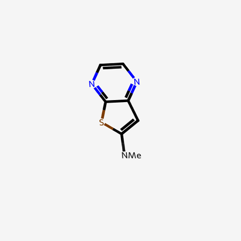 CNc1cc2nccnc2s1